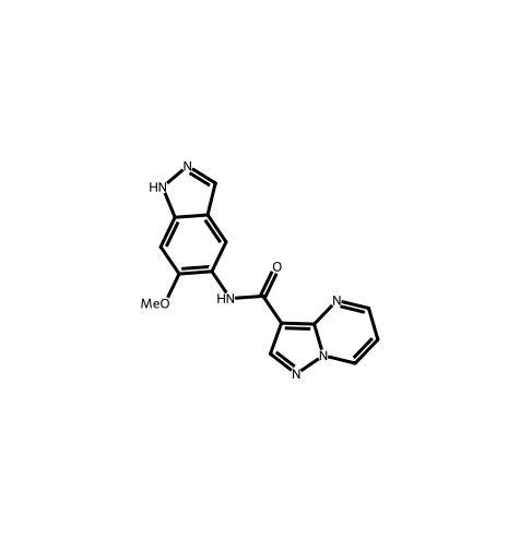 COc1cc2[nH]ncc2cc1NC(=O)c1cnn2cccnc12